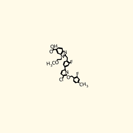 COCCn1c(Cc2ccc(-c3ccc(Cl)c(OCc4ccc(C)cc4F)n3)cc2F)nc2ccc(C(=O)O)cc21